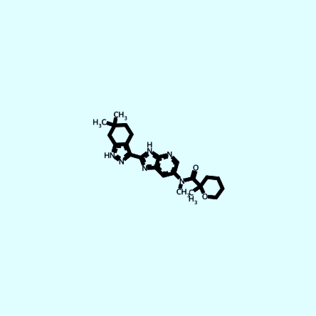 CN(C(=O)C1(C)CCCCO1)c1cnc2[nH]c(-c3n[nH]c4c3CCC(C)(C)C4)nc2c1